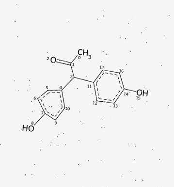 CC(=O)C(c1ccc(O)cc1)c1ccc(O)cc1